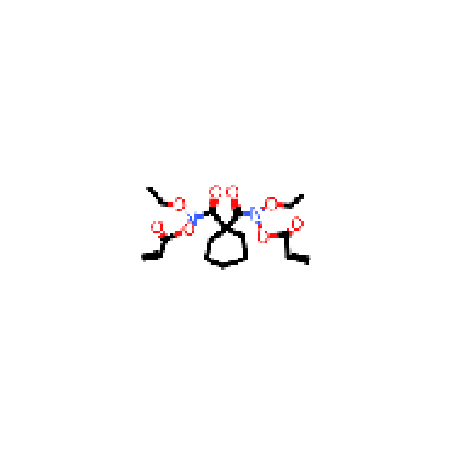 C=CC(=O)ON(OCC)C(=O)C1(C(=O)N(OCC)OC(=O)C=C)CCCCC1